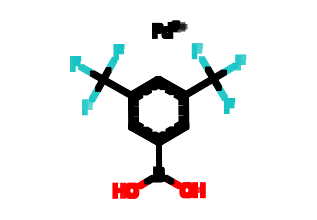 OB(O)c1cc(C(F)(F)F)cc(C(F)(F)F)c1.[Pd+2]